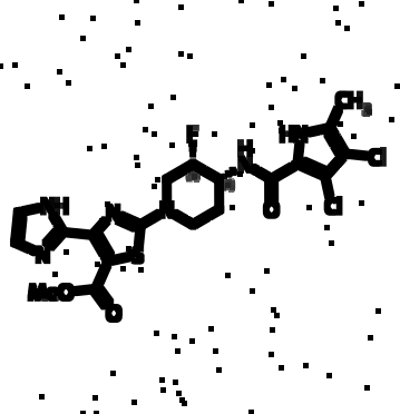 COC(=O)c1sc(N2CC[C@@H](NC(=O)c3[nH]c(C)c(Cl)c3Cl)[C@@H](F)C2)nc1-c1ncc[nH]1